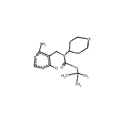 CC(C)(C)OC(=O)N(Cc1c(N)ncnc1Cl)C1CCOCC1